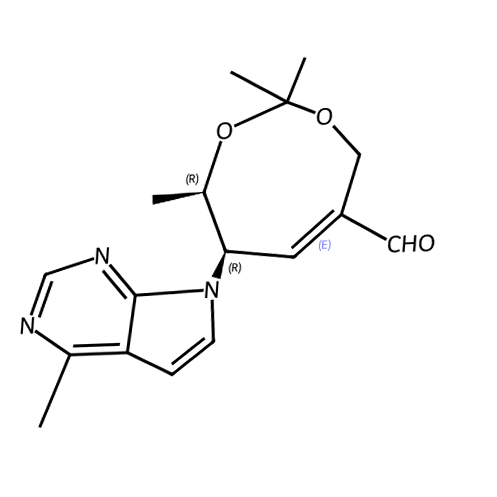 Cc1ncnc2c1ccn2[C@@H]1/C=C(/C=O)COC(C)(C)O[C@@H]1C